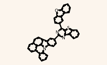 c1ccc2c(c1)oc1ccc(-c3nc(-c4ccc5c(c4)c4ccc6cccc7c8ccccc8n5c4c67)nc4c3sc3ccccc34)cc12